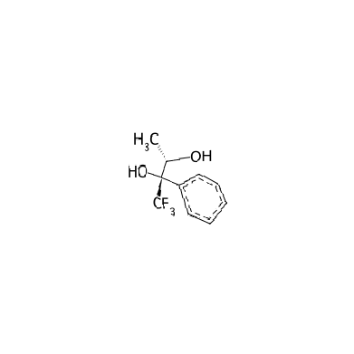 C[C@H](O)[C@@](O)(c1ccccc1)C(F)(F)F